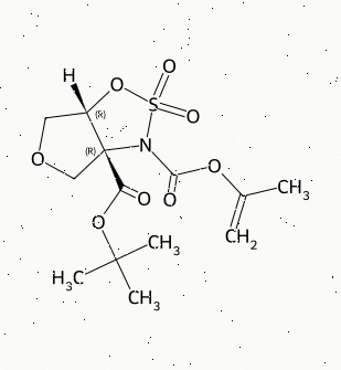 C=C(C)OC(=O)N1[C@]2(C(=O)OC(C)(C)C)COC[C@@H]2OS1(=O)=O